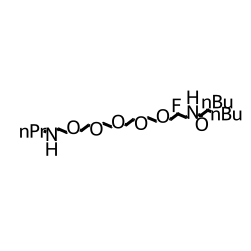 CCCCC(CCCC)C(=O)NCC(F)COCCOCCOCCOCCOCCNCCC